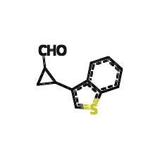 O=CC1CC1c1csc2ccccc12